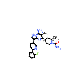 CC(=O)c1c([C@@H]2CCN(C(N)=O)[C@@H](C)C2)nc2c(-c3ccc(-c4ccccc4F)nc3)cnn2c1N